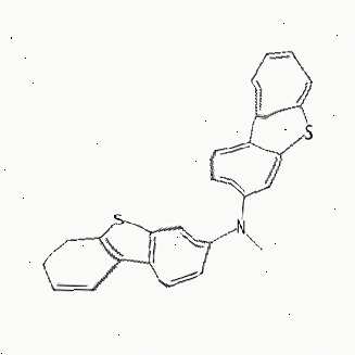 CN(c1ccc2c3c(sc2c1)CCC=C3)c1ccc2c(c1)sc1ccccc12